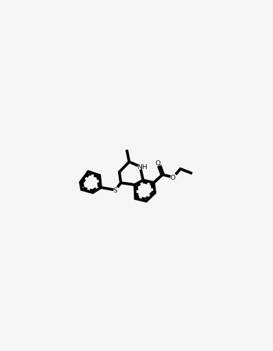 CCOC(=O)c1cccc2c1NC(C)CC2Sc1ccccc1